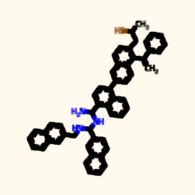 C=C(c1ccccc1)c1c(CC(C)S)ccc2cc(-c3ccc(C(N)NC(NCc4ccc5ccccc5c4)c4ccc5ccccc5c4)c4ccccc34)ccc12